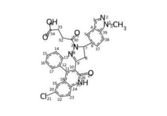 Cn1ncc2cc(C3CC(c4c(-c5ccccc5)c5cc(Cl)ccc5[nH]c4=O)=NN3C(=O)CCC(=O)O)ccc21